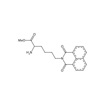 COC(=O)C(N)CCCCN1C(=O)c2cccc3cccc(c23)C1=O